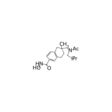 CC(=O)N(CC(C)C)CC1(C)CCc2cc(C(=O)NO)ccc2C1